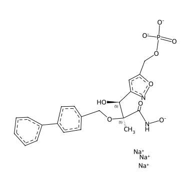 C[C@@](OCc1ccc(-c2ccccc2)cc1)(C(=O)N[O-])[C@@H](O)c1cc(COP(=O)([O-])[O-])on1.[Na+].[Na+].[Na+]